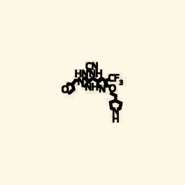 N#CC1NC2=C(NCN2CC2CCOC2)C(c2cnc(OCCC3CCNCC3)c(C(F)(F)F)c2)N1